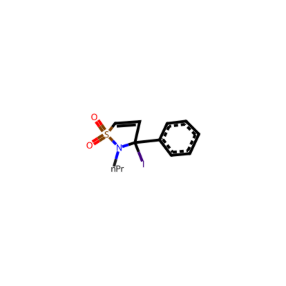 CCCN1C(I)(c2ccccc2)C=CS1(=O)=O